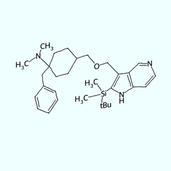 CN(C)C1(Cc2ccccc2)CCC(COCc2c([Si](C)(C)C(C)(C)C)[nH]c3ccncc23)CC1